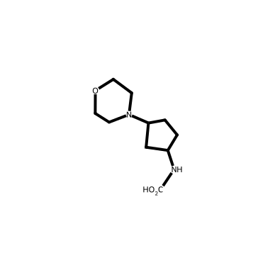 O=C(O)NC1CCC(N2CCOCC2)C1